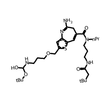 CCCN(CCCNC(=O)CC(C)(C)C)C(=O)C1=Cc2sc(COCCCNC(O)OC(C)(C)C)cc2N=C(N)C1